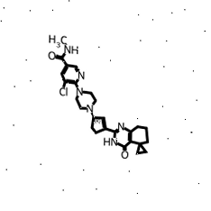 CNC(=O)c1cnc(N2CCN([C@H]3C=C(c4nc5c(c(=O)[nH]4)C4(CCC5)CC4)CC3)CC2)c(Cl)c1